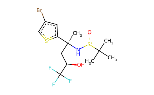 CC(C)(C)[S@@+]([O-])N[C@@](C)(C[C@@H](O)C(F)(F)F)c1cc(Br)cs1